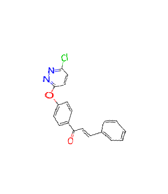 O=C(C=Cc1ccccc1)c1ccc(Oc2ccc(Cl)nn2)cc1